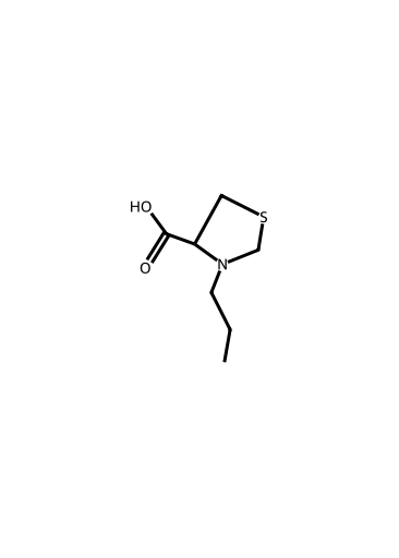 CCCN1CSCC1C(=O)O